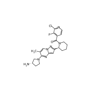 Cc1cn2nc([C@@H]3CCCCN3C(=O)c3ccnc(Cl)c3F)cc2nc1N1CC[C@H](N)C1